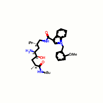 CCCCNC(=O)[C@H](C)C[C@H](O)[C@@H](N)C[C@@H](CNC(=O)c1cn(Cc2ccccc2OC)c2ccccc12)C(C)C